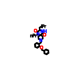 CCCN1C(=O)C(CC(C)C)NC(=O)C12CCN(Cc1ccccc1OCc1ccccc1)CC2